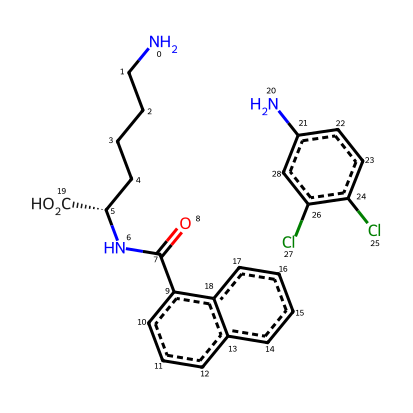 NCCCC[C@H](NC(=O)c1cccc2ccccc12)C(=O)O.Nc1ccc(Cl)c(Cl)c1